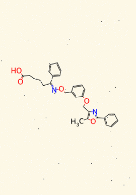 Cc1oc(-c2ccccc2)nc1COc1cccc(CO/N=C(/CCCCC(=O)O)c2ccccc2)c1